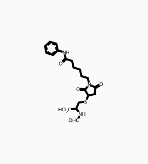 O=CNC(CSC1CC(=O)N(CCCCCC(=O)Nc2ccccc2)C1=O)C(=O)O